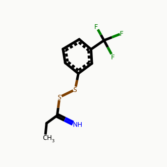 CCC(=N)SSc1cccc(C(F)(F)F)c1